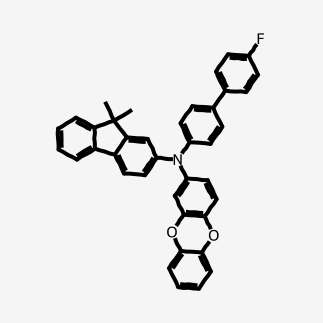 CC1(C)c2ccccc2-c2ccc(N(c3ccc(-c4ccc(F)cc4)cc3)c3ccc4c(c3)Oc3ccccc3O4)cc21